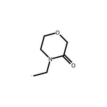 [CH2]CN1CCOCC1=O